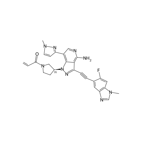 C=CC(=O)N1CC[C@H](n2nc(C#Cc3cc4ncn(C)c4cc3F)c3c(N)ncc(-c4ccn(C)n4)c32)C1